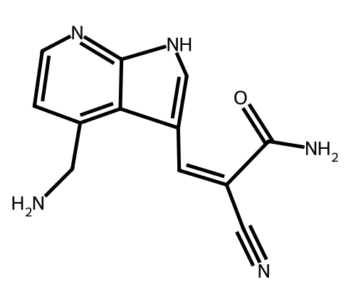 N#CC(=Cc1c[nH]c2nccc(CN)c12)C(N)=O